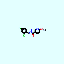 CCOc1ccc(C(=O)NCc2ccc(Cl)cc2Cl)cn1